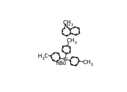 CCCC[B-](c1ccc(C)cc1)(c1ccc(C)cc1)c1ccc(C)cc1.C[n+]1cccc2ccccc21